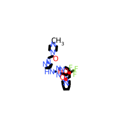 CN1CCN(C(=O)Cn2cc(Nc3nc4c(N5CC6CCC(C5)N6C(=O)CC(O)C(F)(F)F)cccn4n3)cn2)CC1